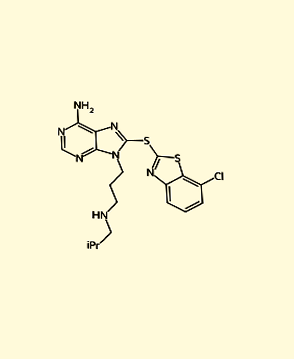 CC(C)CNCCCn1c(Sc2nc3cccc(Cl)c3s2)nc2c(N)ncnc21